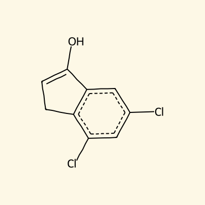 OC1=CCc2c(Cl)cc(Cl)cc21